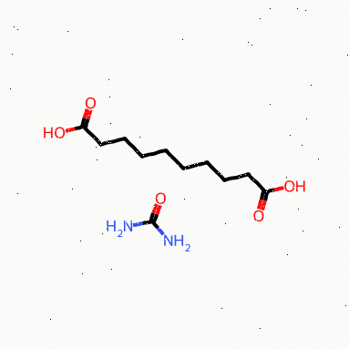 NC(N)=O.O=C(O)CCCCCCCCC(=O)O